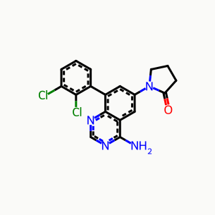 Nc1ncnc2c(-c3cccc(Cl)c3Cl)cc(N3CCCC3=O)cc12